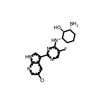 N[C@@H]1CCC[C@H](Nc2nc(-c3c[nH]c4ncc(Cl)cc34)ncc2F)[C@H]1O